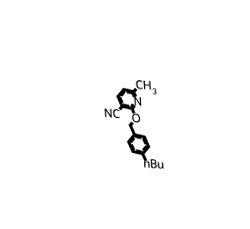 CCCCc1ccc(COc2nc(C)ccc2C#N)cc1